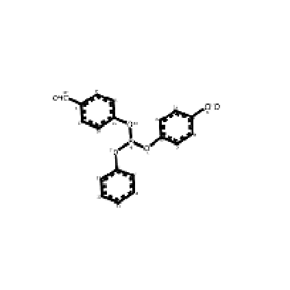 O=Cc1ccc(OP(Oc2ccccc2)Oc2ccc(C=O)cc2)cc1